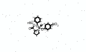 CCCCOC(=O)[C@@H]1CCCN1P(=O)(Oc1ccccc1)Oc1ccc([N+](=O)[O-])cc1